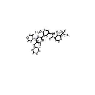 Cc1ncc(NC(=O)c2ccnc(C(C)(C)F)c2)cc1C(=N)/C=C(\C(=N)CC1CCCCC1)N1CCOCC1